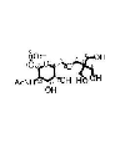 CCCCCCCCO[C@@H]1O[C@H](COCC(CO)(CO)CO)[C@@H](O)[C@H](O)[C@H]1NC(C)=O